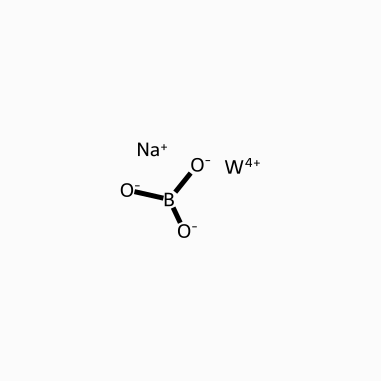 [Na+].[O-]B([O-])[O-].[W+4]